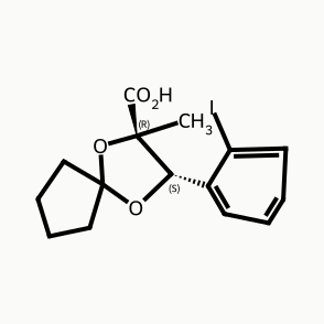 C[C@@]1(C(=O)O)OC2(CCCC2)O[C@H]1c1ccccc1I